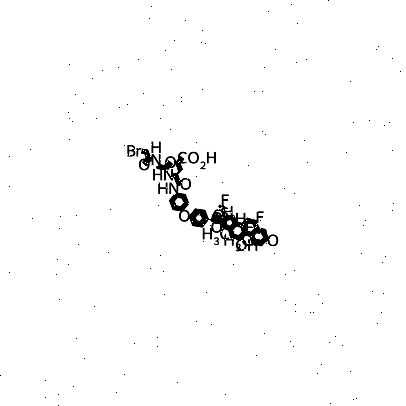 C[C@]12C=CC(=O)C=C1[C@@H](F)C[C@H]1C3C[C@H]4O[C@@H](c5ccc(OC6CCC(NC(=O)[C@H](CCC(=O)O)NC(=O)CNC(=O)CBr)CC6)cc5)O[C@@]4(C(=O)SCF)[C@@]3(C)C[C@H](O)[C@@]12F